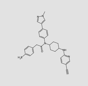 Bc1ccc(CC(=O)N(c2ccc(-c3cnn(C)c3)cc2)C2CCC(Nc3ccc(C#C)cn3)CC2)cc1